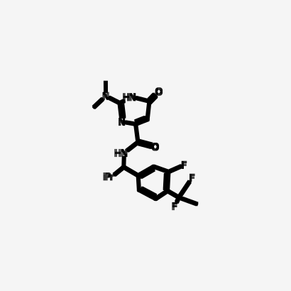 CC(C)C(NC(=O)c1cc(=O)[nH]c(N(C)C)n1)c1ccc(C(C)(F)F)c(F)c1